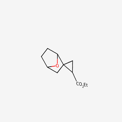 CCOC(=O)C1CC12CC1CCC2O1